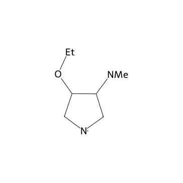 CCOC1C[N]CC1NC